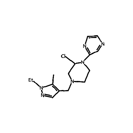 CCn1ncc(CN2CCN(c3cnccn3)C(Cl)C2)c1C